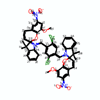 COc1cc([N+](=O)[O-])cc2c1OC1(C=C2)N(Cc2cc(Br)c(CN3c4ccccc4C(C)(C)C34C=Cc3cc([N+](=O)[O-])cc(OC)c3O4)cc2Br)c2ccccc2C1(C)C